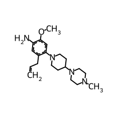 C=CCc1cc(N)c(OC)cc1N1CCC(N2CCN(C)CC2)CC1